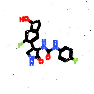 O=C(Nc1ccc(F)cc1)NC1C(=O)NCC1c1cc2c(cc1F)C(O)CC2